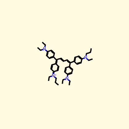 CCCN(CC)c1ccc(C(=CC=CC(=C2C=CC(=[N+](CC)CCC)C=C2)c2ccc(N(CC)CC)cc2)c2ccc(N(CC)CC)cc2)cc1